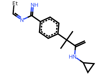 C=C(NC1CC1)C(C)(C)c1ccc(C(=N)/N=C\CC)cc1